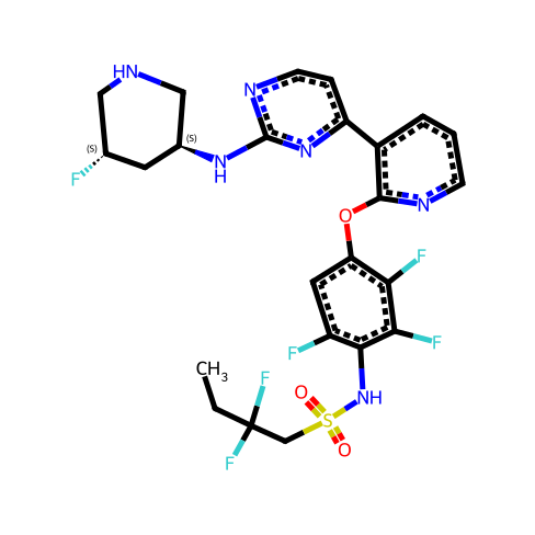 CCC(F)(F)CS(=O)(=O)Nc1c(F)cc(Oc2ncccc2-c2ccnc(N[C@@H]3CNC[C@@H](F)C3)n2)c(F)c1F